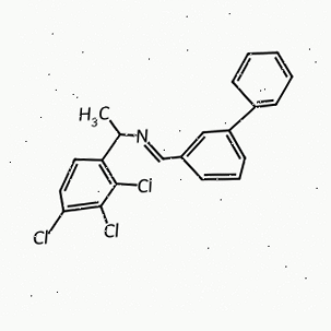 CC(N=Cc1cccc(-c2ccccc2)c1)c1ccc(Cl)c(Cl)c1Cl